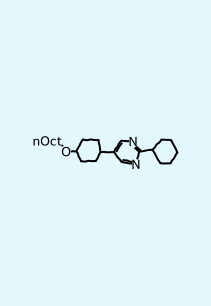 CCCCCCCCOC1CCC(c2cnc(C3CCCCC3)nc2)CC1